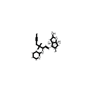 CC#CCC(C)(C)[C@@H](C=C[C@@H]1[C@H]2CC(O)O[C@H]2C[C@H]1C)OC1CCCCO1